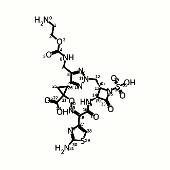 NCCOC(=O)NCc1cnn(C[C@@H]2[C@H](NC(=O)C(=NOC3(C(=O)O)CC3)c3csc(N)n3)C(=O)N2S(=O)(=O)O)n1